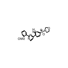 COc1ccccc1-c1nccc(-c2ccc(S(=O)(=O)N3CCOCC3)cc2N)n1